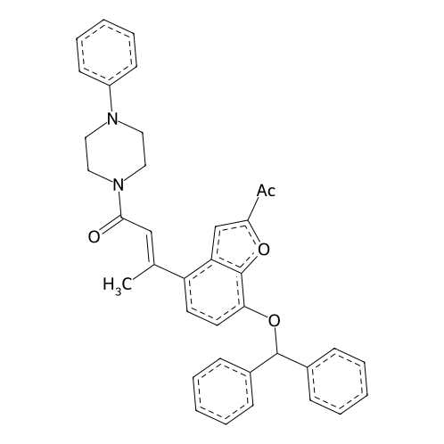 CC(=O)c1cc2c(C(C)=CC(=O)N3CCN(c4ccccc4)CC3)ccc(OC(c3ccccc3)c3ccccc3)c2o1